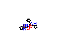 O=C(NC1=C(c2ccccc2)NC(c2ccccc2)O1)c1nc2ccccc2s1